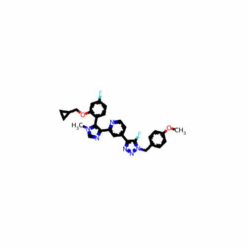 COc1ccc(Cn2nnc(-c3ccnc(-c4ncn(C)c4-c4ccc(F)cc4OCC4CC4)c3)c2F)cc1